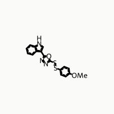 COc1ccc(SSc2nnc(-c3c[nH]c4ccccc34)o2)cc1